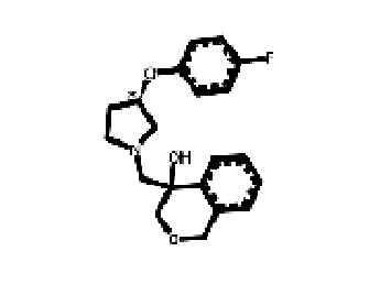 OC1(CN2CC[C@@H](Oc3ccc(F)cc3)C2)COCc2ccccc21